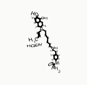 CCCN(CCCCCCNCCc1ccc(NC(N)=O)cc1)[C@H]1CCc2c(ccc(O)c2O)C1.Cl.Cl